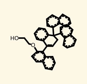 OCCOc1ccc2ccccc2c1C1=CCC(c2cccc3ccccc23)(c2cccc3ccccc23)c2ccccc21